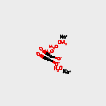 O.O.O.O.O=B[O-].O=B[O-].[Na+].[Na+]